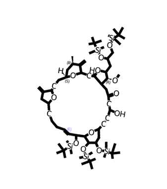 C=C1CC2CCC/C=C/C(O[Si](C)(C)C(C)(C)C)C3OC(CCC(O)CC(=O)CC4[C@@H](OC)C(CC(CO[Si](C)(C)C(C)(C)C)O[Si](C)(C)C(C)(C)C)O[C@H]4CC4O[C@@H](CCC1O2)C[C@@H](C)C4=C)CC(O[Si](C)(C)C(C)(C)C)C3O[Si](C)(C)C(C)(C)C